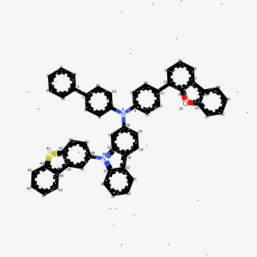 c1ccc(-c2ccc(N(c3ccc(-c4cccc5c4oc4ccccc45)cc3)c3ccc4c5ccccc5n(-c5ccc6sc7ccccc7c6c5)c4c3)cc2)cc1